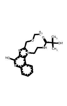 CCOCc1nc2c(O)nc3ccccc3c2n1CCNC(=O)C(C)(C)O